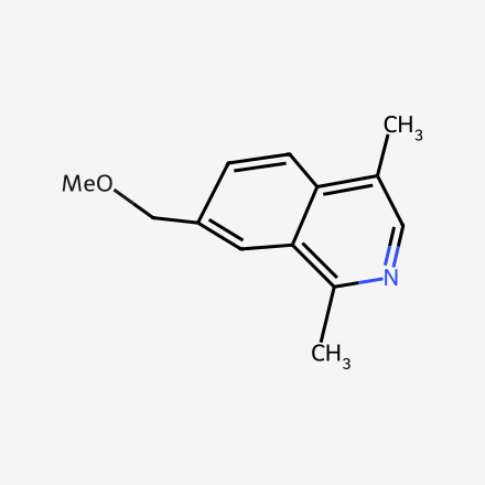 COCc1ccc2c(C)cnc(C)c2c1